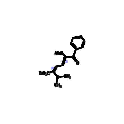 CCOC(=O)/C(=C/C=C(\SC)C(=O)c1ccccc1)N(C)C